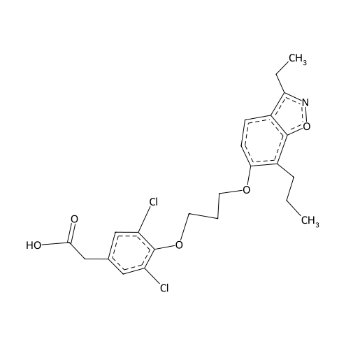 CCCc1c(OCCCOc2c(Cl)cc(CC(=O)O)cc2Cl)ccc2c(CC)noc12